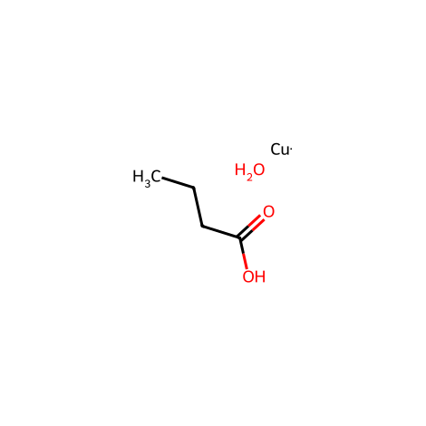 CCCC(=O)O.O.[Cu]